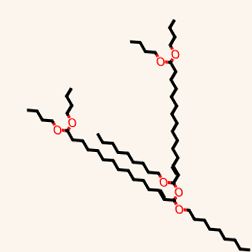 CCCCCCCCCOC(C=CCCCCCCCCCCCC(OCCCC)OCCCC)OC(C=CCCCCCCCCCCCC(OCCCC)OCCCC)OCCCCCCCCC